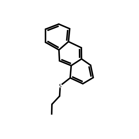 CCCSc1cccc2cc3ccccc3cc12